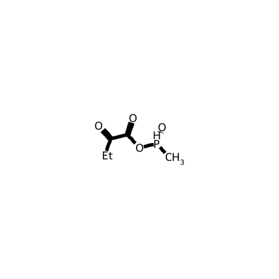 CCC(=O)C(=O)O[PH](C)=O